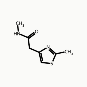 CNC(=O)Cc1csc(C)n1